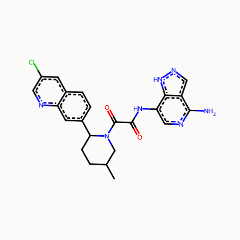 CC1CCC(c2ccc3cc(Cl)cnc3c2)N(C(=O)C(=O)Nc2cnc(N)c3cn[nH]c23)C1